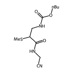 CCCCOC(=O)NCC(SC)C(=O)NCC#N